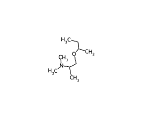 CCC(C)OCC(C)N(C)C